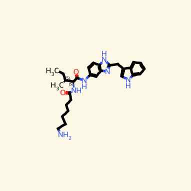 CC[C@H](C)[C@H](NC(=O)CCCCCCN)C(=O)Nc1ccc2[nH]c(Cc3c[nH]c4ccccc34)nc2c1